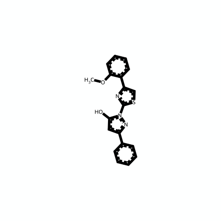 COc1ccccc1-c1csc(-n2nc(-c3ccccc3)cc2O)n1